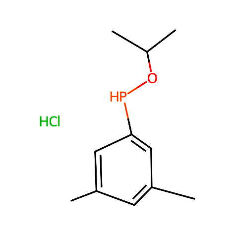 Cc1cc(C)cc(POC(C)C)c1.Cl